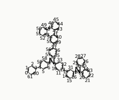 c1ccc(-c2ccc(N(c3ccc(-c4cccc(-n5c6ccccc6c6ccccc65)c4)cc3)c3ccc(-c4ccc5c6ccccc6c6ccccc6c5c4)cc3)cc2)cc1